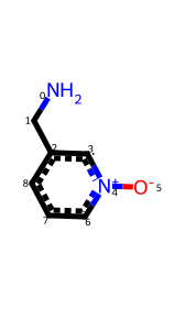 NCc1[c][n+]([O-])ccc1